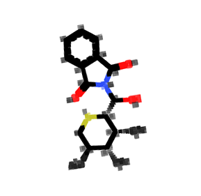 CC(=O)O[C@@H]1[C@H](OC(C)=O)[C@@H](OC(C)=O)CS[C@@H]1C(O)N1C(=O)c2ccccc2C1=O